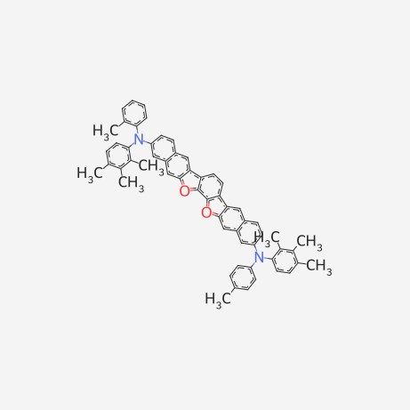 Cc1ccc(N(c2ccc3cc4c(cc3c2)oc2c4ccc3c4cc5ccc(N(c6ccccc6C)c6ccc(C)c(C)c6C)cc5cc4oc32)c2ccc(C)c(C)c2C)cc1